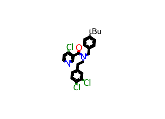 CC(C)(C)c1ccc(CN(CCc2ccc(Cl)c(Cl)c2)C(=O)c2cnccc2Cl)cc1